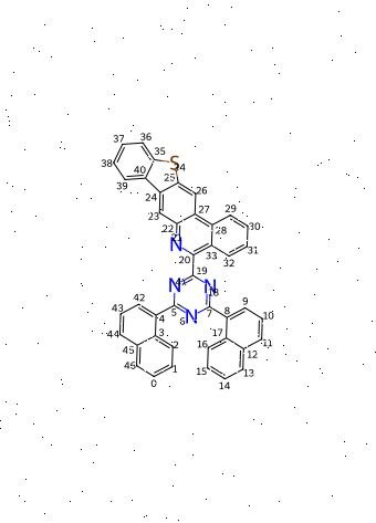 c1ccc2c(-c3nc(-c4cccc5ccccc45)nc(-c4nc5cc6c(cc5c5ccccc45)sc4ccccc46)n3)cccc2c1